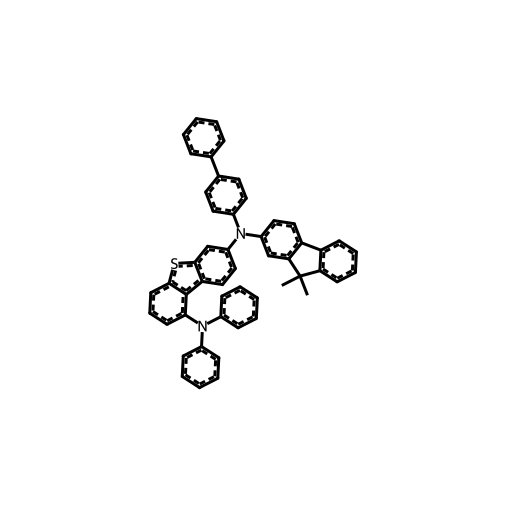 CC1(C)c2ccccc2-c2ccc(N(c3ccc(-c4ccccc4)cc3)c3ccc4c(c3)sc3cccc(N(c5ccccc5)c5ccccc5)c34)cc21